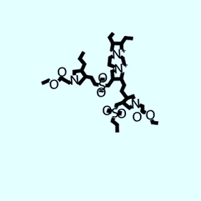 CCCC1CN(CC(=O)OCC)CC1CCS(=O)(=O)CC1C[N+]2(CC[N+]3(CC2)CC(CC)C(CC)C3)CC1CCC1CN(CC(=O)OCC)CC1CS(=O)(=O)CCC